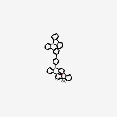 CC1(C)c2ccccc2-c2ccc(N(c3ccc(-c4cccc(-c5ccccc5-n5c6ccccc6c6ccccc65)c4)cc3)c3ccccc3-c3ccccc3)cc21